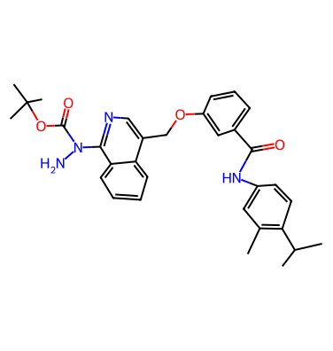 Cc1cc(NC(=O)c2cccc(OCc3cnc(N(N)C(=O)OC(C)(C)C)c4ccccc34)c2)ccc1C(C)C